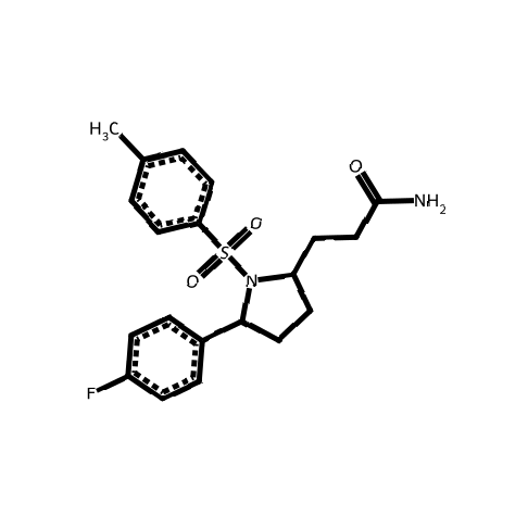 Cc1ccc(S(=O)(=O)N2C(CCC(N)=O)CCC2c2ccc(F)cc2)cc1